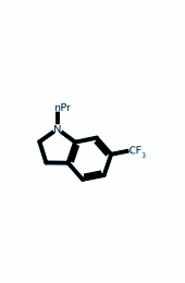 CCCN1CCc2ccc(C(F)(F)F)cc21